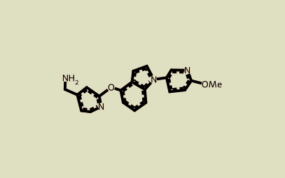 COc1ccc(-n2ccc3c(Oc4cc(CN)ccn4)cccc32)cn1